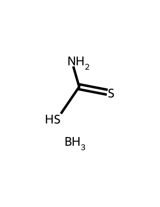 B.NC(=S)S